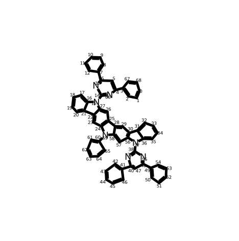 c1ccc(-c2cc(-c3ccccc3)nc(-n3c4ccccc4c4cc5c(cc43)c3cc4c6ccccc6n(-c6nc(-c7ccccc7)cc(-c7ccccc7)n6)c4cc3n5-c3ccccc3)n2)cc1